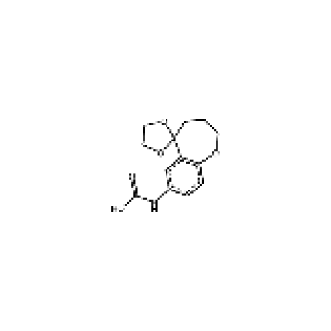 O=C(O)Nc1ccc2c(c1)C1(CCCO2)OCCO1